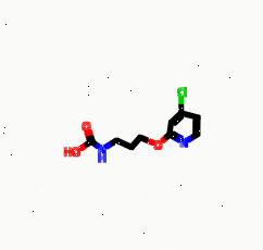 O=C(O)NCCCOc1cc(Cl)ccn1